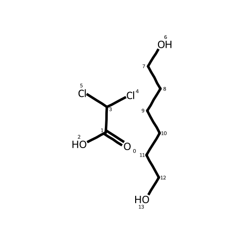 O=C(O)C(Cl)Cl.OCCCCCCO